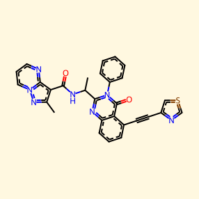 Cc1nn2cccnc2c1C(=O)NC(C)c1nc2cccc(C#Cc3cscn3)c2c(=O)n1-c1ccccc1